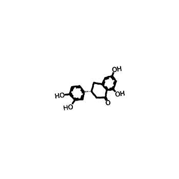 O=C1C[C@H](c2ccc(O)c(O)c2)Cc2cc(O)cc(O)c21